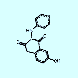 O=C1Cc2ccc(O)cc2C(=O)N1Nc1ccncc1